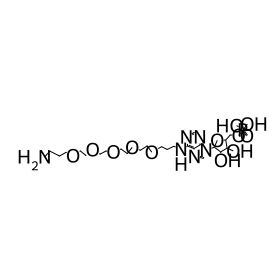 NCCCOCCOCCOCCOCCOCCCNc1ncnc2c1ncn2C1OC(COP(=O)(O)O)C(O)C1O